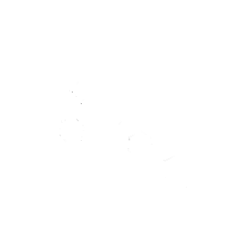 COC(=O)c1ccc(S(=O)(=O)CC(c2c3c(nn2-c2ccc(Cl)cc2)CCCC3)C2CCCCC2)cc1